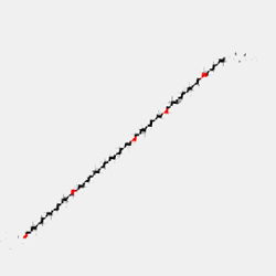 COCCOCCOCCOCCOCCOCCOCCOCCOCCOCCOCCOCCOCCOCCOCCOCCOCCOCCOCCOCCOCCOCCOCCOCCOCCOCCC(=O)O